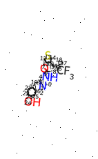 CN(C)[C@H](CNC(=O)C[C@H](c1ccsc1)C1(C(F)(F)F)CC1)Cc1ccc(O)cc1